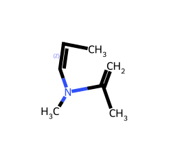 C=C(C)N(C)/C=C\C